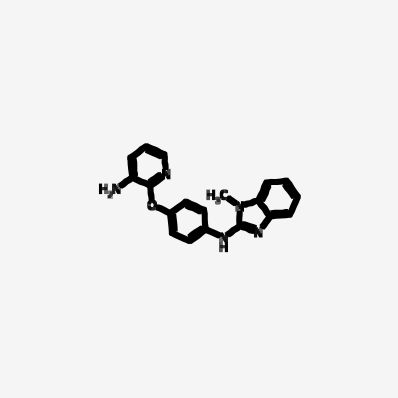 Cn1c(Nc2ccc(Oc3ncccc3N)cc2)nc2ccccc21